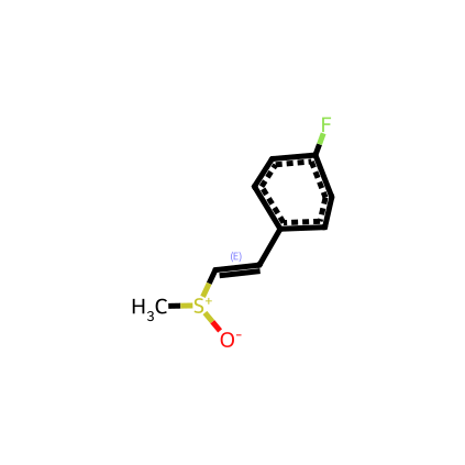 C[S+]([O-])/C=C/c1ccc(F)cc1